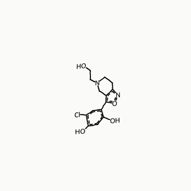 OCCN1CCc2noc(-c3cc(Cl)c(O)cc3O)c2C1